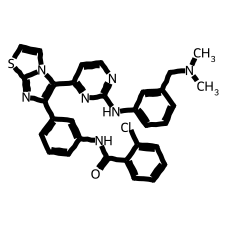 CN(C)Cc1cccc(Nc2nccc(-c3c(-c4cccc(NC(=O)c5ccccc5Cl)c4)nc4sccn34)n2)c1